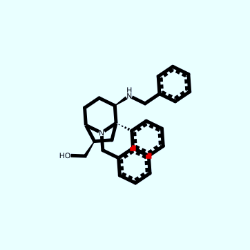 OC[C@@H]1C[C@]2(c3ccccc3)[C@H](NCc3ccccc3)CCC1N2Cc1ccccc1